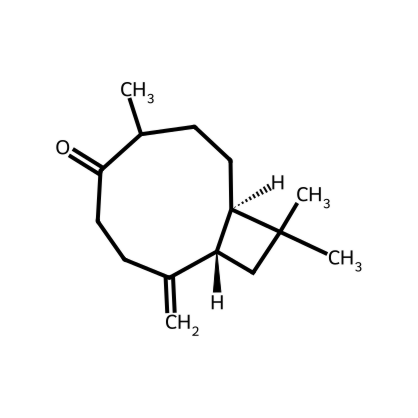 C=C1CCC(=O)C(C)CC[C@@H]2[C@@H]1CC2(C)C